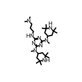 CN(C)CCCNc1nc(N(C)C2CC(C)(C)NC(C)(C)C2)nc(N(C)C2CC(C)(C)NC(C)(C)C2)n1